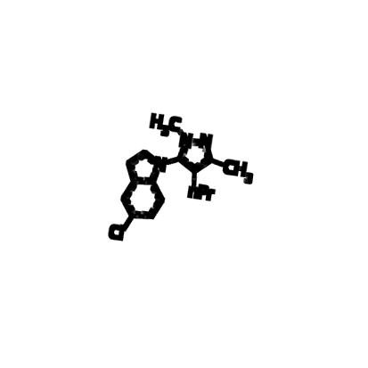 [CH2]CCc1c(C)nn(C)c1-n1ccc2cc(Cl)ccc21